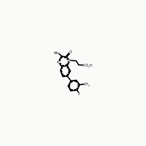 CC(C)(C)c1nc2ccc(-c3ccc(F)c(C(F)(F)F)c3)cc2n(CCC(=O)O)c1=O